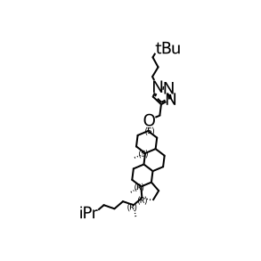 CC(C)CCC[C@@H](C)[C@H]1CCC2C3CCC4C[C@@H](OCc5cn(CCCC(C)(C)C)nn5)CC[C@]4(C)C3CC[C@@]21C